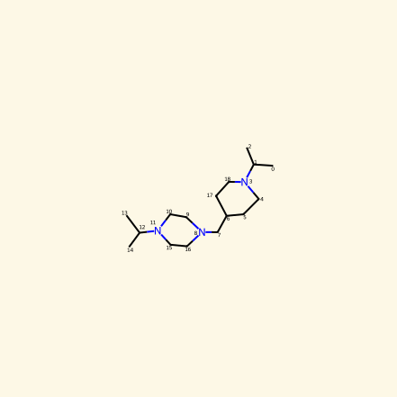 CC(C)N1CCC(CN2CCN(C(C)C)CC2)CC1